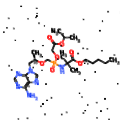 CCCCCOC(=O)C(C)(C)NP(=O)(CO[C@H](C)Cn1cnc2c(N)ncnc21)OCC(=O)OC(C)C